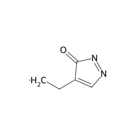 [CH2]CC1=CN=NC1=O